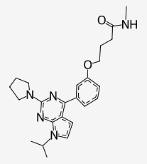 CNC(=O)CCCOc1cccc(-c2nc(N3CCCC3)nc3c2ccn3C(C)C)c1